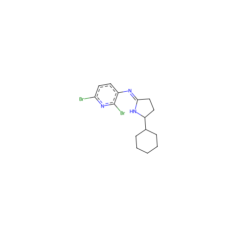 Brc1ccc(/N=C2/CCC(C3CCCCC3)N2)c(Br)n1